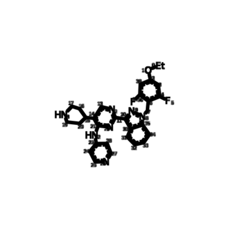 CCOc1cc(F)c(Cn2nc(-c3ncc(C4CCNCC4)c(Nc4ccncc4)n3)c3ccccc32)c(F)c1